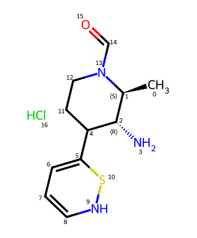 C[C@H]1[C@H](N)C(C2=CC=CNS2)CCN1C=O.Cl